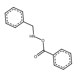 O=C(ONCc1ccccc1)c1ccccc1